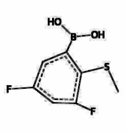 CSc1c(F)cc(F)cc1B(O)O